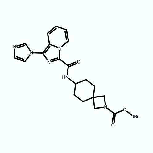 CC(C)(C)OC(=O)N1CC2(CCC(NC(=O)c3nc(-n4ccnc4)c4ccccn34)CC2)C1